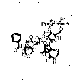 CC(C)[Si]1(C(C)C)OC[C@H]2O[C@@H](n3cc(F)c4c(=O)[nH]cnc43)[C@H](OP(=O)(OCCC#N)OC[C@@]34CO[C@@H]([C@H](C(=O)c5ccccc5)O3)[C@@H]4O[PH](=O)O)[C@@H]2O[Si](C(C)C)(C(C)C)O1